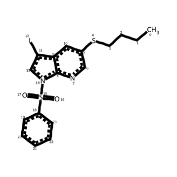 CCCCSc1cnc2c(c1)c(I)cn2S(=O)(=O)c1ccccc1